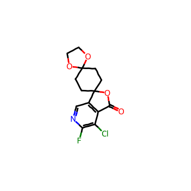 O=C1OC2(CCC3(CC2)OCCO3)c2cnc(F)c(Cl)c21